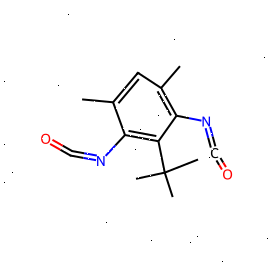 Cc1cc(C)c(N=C=O)c(C(C)(C)C)c1N=C=O